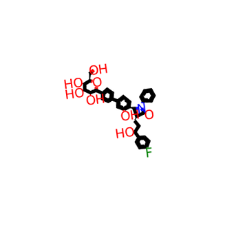 O=C1[C@H](CC[C@H](O)c2ccc(F)cc2)[C@@H](c2ccc(-c3ccc(C4O[C@H](CO)[C@@H](O)[C@H](O)[C@H]4O)cc3)cc2O)N1c1ccccc1